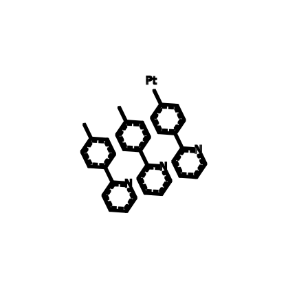 Cc1ccc(-c2ccccn2)cc1.Cc1ccc(-c2ccccn2)cc1.Cc1ccc(-c2ccccn2)cc1.[Pt]